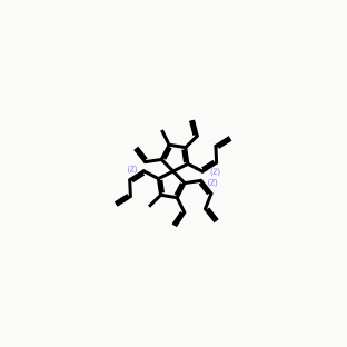 C=C/C=C\C1=C(C)C(C=C)=C(/C=C\C=C)C12C(C=C)=C(C)C(C=C)=C2/C=C\C=C